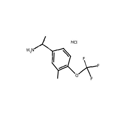 Cc1cc(C(C)N)ccc1OC(F)(F)F.Cl